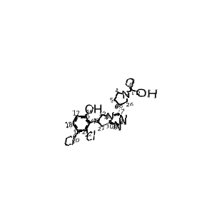 O=C(O)N1CC[C@@H](c2nnc3n2C[C@H](c2c(O)ccc(Cl)c2Cl)C3)C1